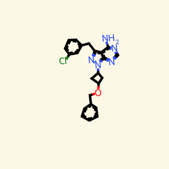 Nc1ncnc2c1c(Cc1cccc(Cl)c1)nn2C1CC(OCc2ccccc2)C1